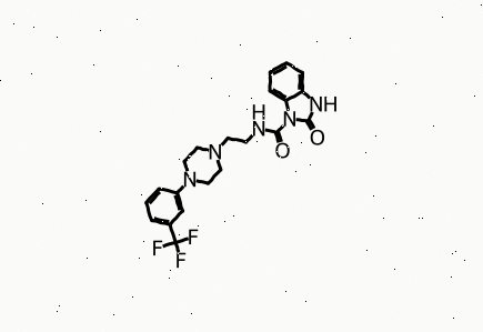 O=C(NCCN1CCN(c2cccc(C(F)(F)F)c2)CC1)n1c(=O)[nH]c2ccccc21